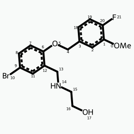 COc1cc(COc2ccc(Br)cc2CNCCO)ccc1F